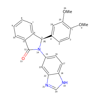 COc1ccc([C@@H]2c3ccccc3C(=O)N2c2ccc3[nH]cnc3c2)cc1OC